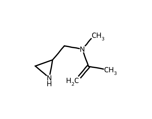 C=C(C)N(C)CC1CN1